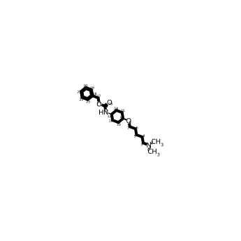 CN(C)CCCCCO[C@H]1CC[C@H](NC(=O)OCc2ccccc2)CC1